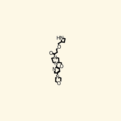 O=C(CCOCC1CCN1)N1CCN2c3ncc(N4CCOCC4)cc3OCC2C1